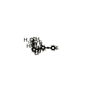 Cc1cc(C#Cc2ccc(F)cc2)cnc1NC(=O)c1cc(NC(=O)OC(C)(C)C)ccc1Cl